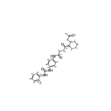 CC(=O)CC1CCCCN1C(=O)CCC(=O)Nc1ccc(NC(=O)Nc2ccccc2C)cc1